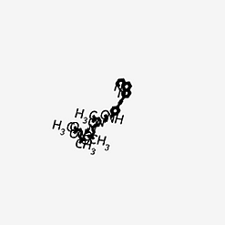 COC(=O)CN(CCN(CCN(CC(C)=O)CC(=O)Nc1ccc(C#Cc2ccc3ccc4cccnc4c3n2)cc1)CC(C)=O)CC(C)=O